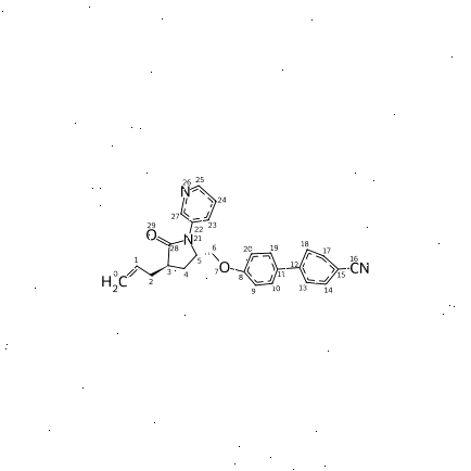 C=CC[C@@H]1C[C@@H](COc2ccc(-c3ccc(C#N)cc3)cc2)N(c2cccnc2)C1=O